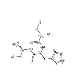 CC(C)C[C@H](NC(=O)[C@H](Cc1c[nH]cn1)NC(=O)[C@@H](N)CS)C(=O)O